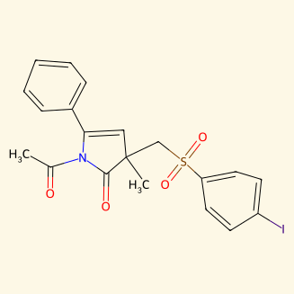 CC(=O)N1C(=O)C(C)(CS(=O)(=O)c2ccc(I)cc2)C=C1c1ccccc1